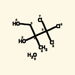 CC(O)(CO)C(Cl)(Cl)Cl.O